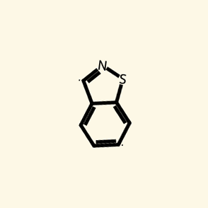 [c]1ccc2[c]nsc2c1